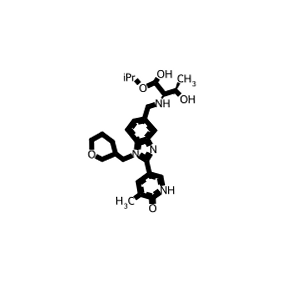 Cc1cc(-c2nc3cc(CN[C@H](C(O)OC(C)C)[C@@H](C)O)ccc3n2CC2CCCOC2)c[nH]c1=O